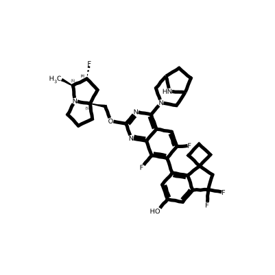 C[C@H]1[C@H](F)C[C@]2(COc3nc(N4CC5CCC(C4)N5)c4cc(F)c(-c5cc(O)cc6c5C5(CCC5)CC6(F)F)c(F)c4n3)CCCN12